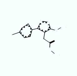 CCCCNc1n[nH]c(-c2ccc(Cl)cc2)c1CC(=O)OCCCC